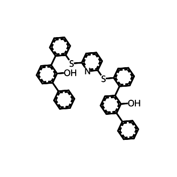 Oc1c(-c2ccccc2)cccc1-c1ccccc1Sc1cccc(Sc2ccccc2-c2cccc(-c3ccccc3)c2O)n1